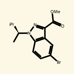 COC(=O)c1nn([C@@H](C)C(C)C)c2ccc(Br)cc12